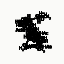 C=C(C)C(=O)NNC(=O)CCCCC(=O)NNC(=O)C1OC(OC2C(O)C(CO)OC(OC3C(C(=O)NNC(=O)CCCCC(=O)NN)OC(OC4C(O)C(CO)OC(OC5C(C(=O)O)OC(OC6C(O)C(CO)OC(C)C6NC(C)=O)C(O)C5O)C4NC(C)=O)C(O)C3O)C2NC(C)=O)C(O)C(O)C1OC